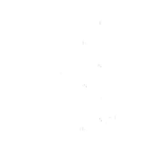 CCCCc1cc2c(c(N3CCN(c4cccc(C)c4C)CC3)c1C(N)=O)C(=O)c1ccccc1-2.Cl